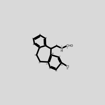 O=CNCC1c2ccccc2CCc2ccc(Cl)cc21